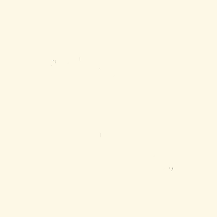 COc1ccc(-c2cc3c(cc2F)[C@H](OC(N)=O)C(C)(C)C3)c(Cl)c1